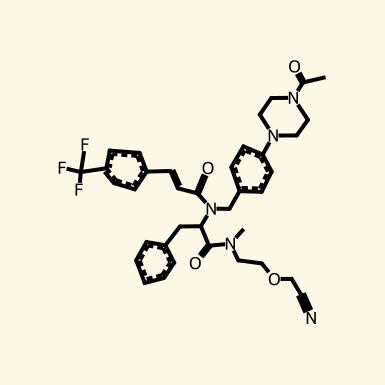 CC(=O)N1CCN(c2ccc(CN(C(=O)C=Cc3ccc(C(F)(F)F)cc3)C(Cc3ccccc3)C(=O)N(C)CCOCC#N)cc2)CC1